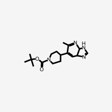 CC1=NC2NC=NC2C=C1C1CCN(C(=O)OC(C)(C)C)CC1